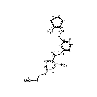 COCCOc1cnc(C(=O)Nc2ccnc(CNc3cccnc3N)c2)c(N)n1